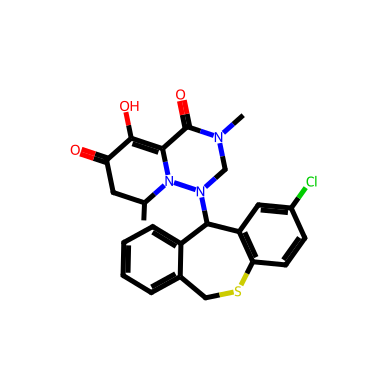 CC1CC(=O)C(O)=C2C(=O)N(C)CN(C3c4ccccc4CSc4ccc(Cl)cc43)N21